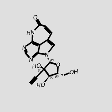 C#C[C@@]1(O)[C@H](O)[C@@H](CO)O[C@H]1n1cc2c3c(ncnc31)NC(=O)C=C2